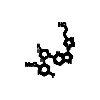 COc1ncc(F)cc1[C@H]1C[C@H](F)CN1c1ccc2ncc(-n3cc(CCO)nn3)n2n1